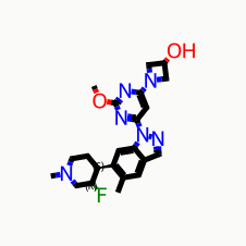 COc1nc(N2CC(O)C2)cc(-n2ncc3cc(C)c([C@@H]4CCN(C)C[C@@H]4F)cc32)n1